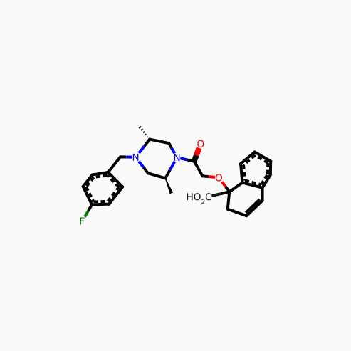 C[C@@H]1CN(C(=O)COC2(C(=O)O)CC=Cc3ccccc32)[C@@H](C)CN1Cc1ccc(F)cc1